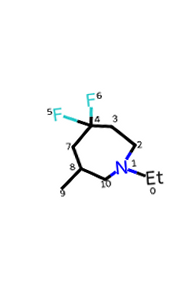 CCN1CCC(F)(F)CC(C)C1